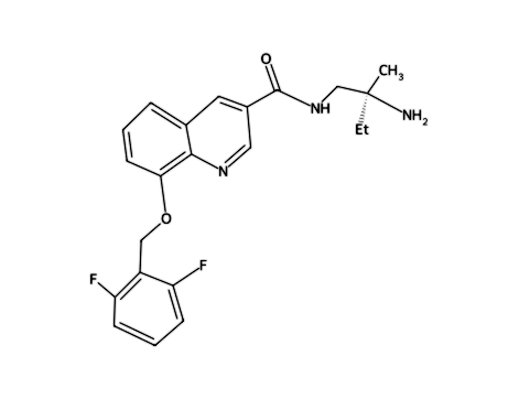 CC[C@](C)(N)CNC(=O)c1cnc2c(OCc3c(F)cccc3F)cccc2c1